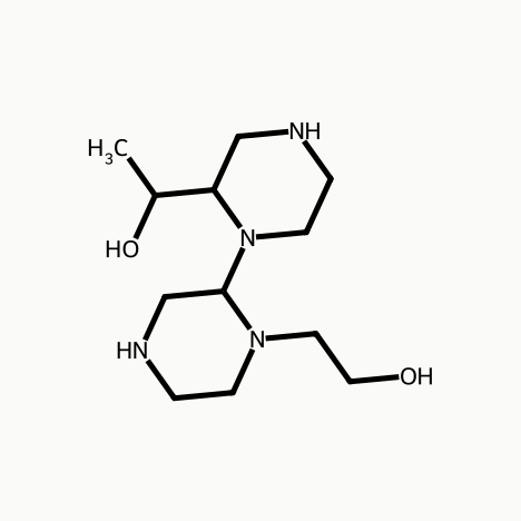 CC(O)C1CNCCN1C1CNCCN1CCO